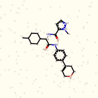 CC1CCC([C@H](NC(=O)c2ccnn2C)C(=O)Nc2ccc(C3=CCOCC3)cc2)CC1